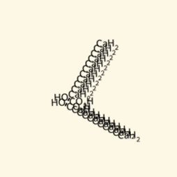 O=C(O)O.O=C(O)O.[CaH2].[CaH2].[CaH2].[CaH2].[CaH2].[CaH2].[CaH2].[CaH2].[CaH2].[CaH2].[CaH2].[CaH2].[CaH2].[CaH2].[CaH2].[CaH2].[CaH2].[CaH2].[CaH2].[CaH2].[CaH2]